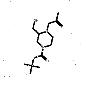 C=C(C)CN1CCN(C(=O)OC(C)(C)C)CC1CO